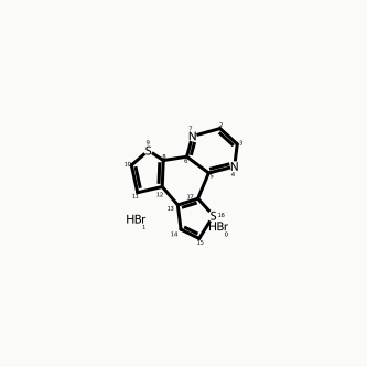 Br.Br.c1cnc2c(n1)c1sccc1c1ccsc12